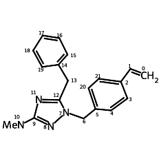 C=Cc1ccc(Cn2nc(NC)nc2Cc2ccccc2)cc1